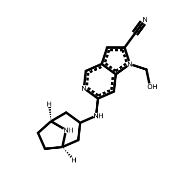 N#Cc1cc2cnc(NC3C[C@H]4CC[C@@H](C3)N4)cc2n1CO